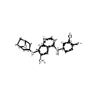 Cc1cc2c(Nc3ccc(F)c(Cl)c3)ncnc2cc1OC1CC2CCC(C1)O2